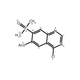 CC(=O)Oc1cc2c(Cl)ncnc2cc1P(C)(C)=O